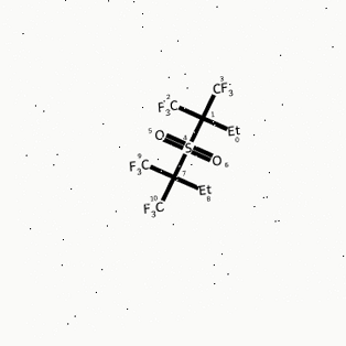 CCC(C(F)(F)F)(C(F)(F)F)S(=O)(=O)C(CC)(C(F)(F)F)C(F)(F)F